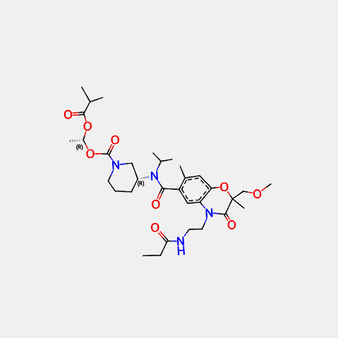 CCC(=O)NCCN1C(=O)C(C)(COC)Oc2cc(C)c(C(=O)N(C(C)C)[C@@H]3CCCN(C(=O)O[C@H](C)OC(=O)C(C)C)C3)cc21